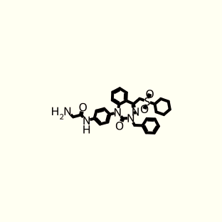 NCC(=O)Nc1ccc(N2C(=O)N(Cc3ccccc3)N=C(CS(=O)(=O)C3CCCCC3)c3ccccc32)cc1